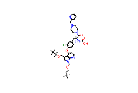 CC(C)(C)[Si](C)(C)OCc1cn(COCC[Si](C)(C)C)c2nccc(Oc3ccc(C[C@H](NC(=O)O)C(=O)N4CCN(Cc5ccccn5)CC4)cc3F)c12